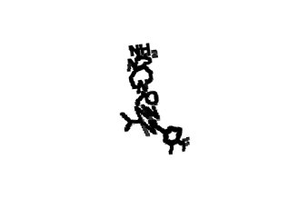 Cc1cc(-c2nc(C(C)C)n(CC(=O)N3CCc4nc(N)sc4CC3)n2)ccc1F